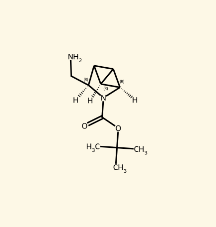 CC(C)(C)OC(=O)N1[C@@H]2C3C([C@@H]32)[C@@H]1CN